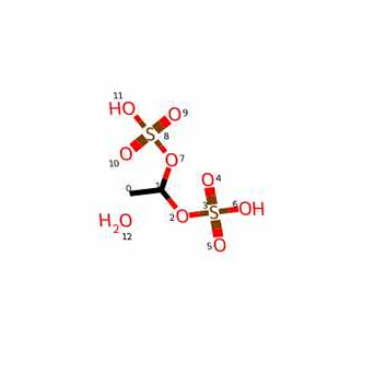 CC(OS(=O)(=O)O)OS(=O)(=O)O.O